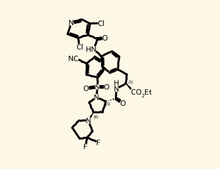 CCOC(=O)[C@H](Cc1ccc(NC(=O)c2c(Cl)cncc2Cl)cc1)NC(=O)[C@@H]1C[C@@H](N2CCCC(F)(F)C2)CN1S(=O)(=O)c1cccc(C#N)c1